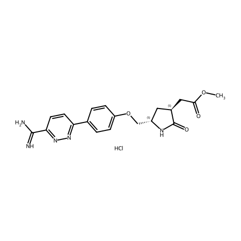 COC(=O)C[C@@H]1C[C@@H](COc2ccc(-c3ccc(C(=N)N)nn3)cc2)NC1=O.Cl